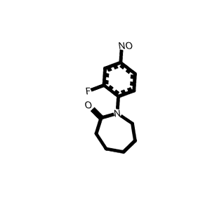 O=Nc1ccc(N2CCCCCC2=O)c(F)c1